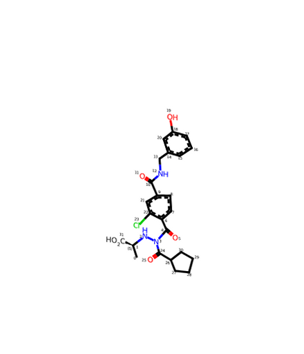 C[C@H](NN(C(=O)c1ccc(C(=O)NCc2cccc(O)c2)cc1Cl)C(=O)C1CCCC1)C(=O)O